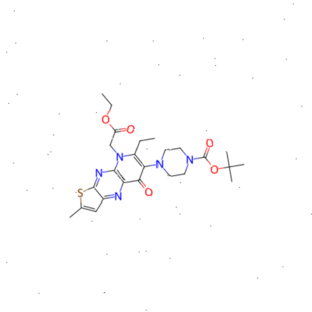 CCOC(=O)Cn1c(CC)c(N2CCN(C(=O)OC(C)(C)C)CC2)c(=O)c2nc3cc(C)sc3nc21